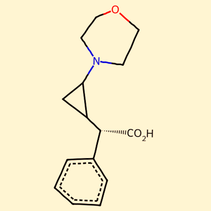 O=C(O)[C@H](c1ccccc1)C1CC1N1CCOCC1